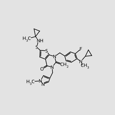 C=C1N(Cc2cnn(C)c2)C(=O)c2cc(SNC3(C)CC3)sc2N1Cc1ccc(N(C)C2CC2)c(F)c1